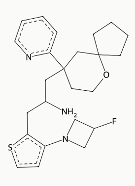 NC(Cc1sccc1N1CC(F)C1)CC1(c2ccccn2)CCOC2(CCCC2)C1